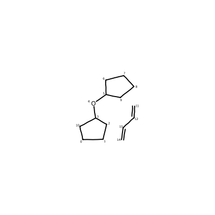 C1CCC(OC2CCCC2)C1.C=CC=C